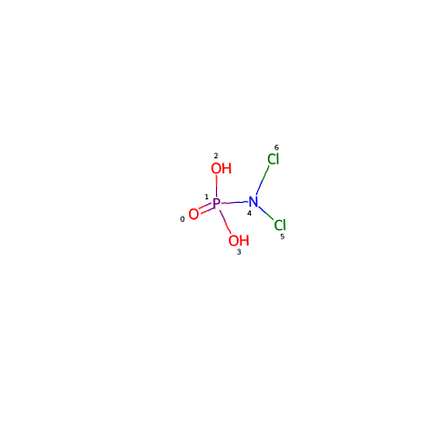 O=P(O)(O)N(Cl)Cl